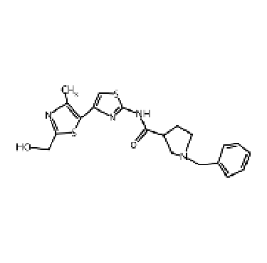 Cc1nc(CO)sc1-c1csc(NC(=O)C2CCN(Cc3ccccc3)C2)n1